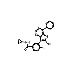 Cc1ccc(C(=O)NC2CC2)cc1-n1c(N)nc2c(-c3ccccc3)ncnc21